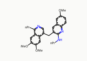 CCCNc1nc2ccc(OC)cc2cc1Cc1cnc(CCC)c2cc(OC)c(OC)cc12